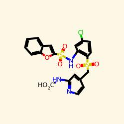 O=C(O)Nc1cc(CS(=O)(=O)c2ccc(Cl)cc2NS(=O)(=O)c2cc3ccccc3o2)ccn1